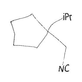 [C-]#[N+]CC1(C(C)C)CCCC1